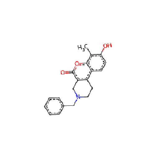 Cc1c(O)ccc2c3c(c(=O)oc12)CN(Cc1ccccc1)CC3